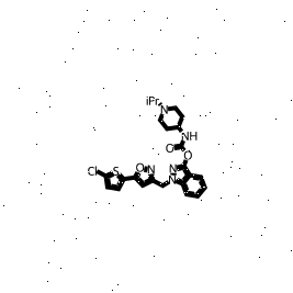 CC(C)N1CCC(NC(=O)Oc2nn(Cc3cc(-c4ccc(Cl)s4)on3)c3ccccc23)CC1